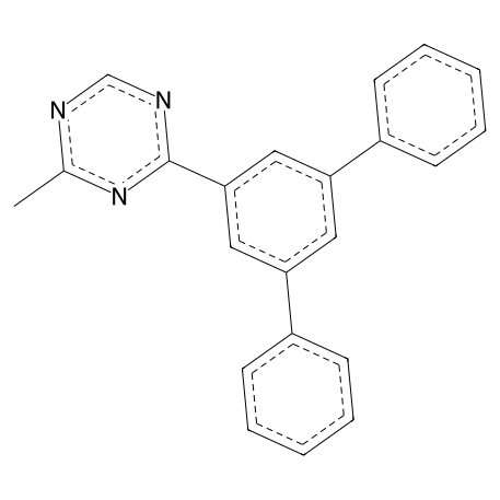 Cc1ncnc(-c2cc(-c3ccccc3)cc(-c3ccccc3)c2)n1